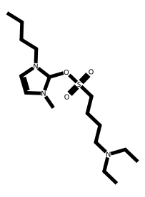 CCCCN1C=CN(C)C1OS(=O)(=O)CCCCN(CC)CC